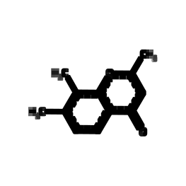 Cc1cc(=O)c2ccc(C)c(C)c2o1